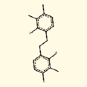 Cc1ccc(CCc2ccc(C)c(C)c2F)c(F)c1C